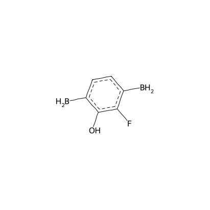 Bc1ccc(B)c(F)c1O